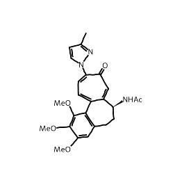 COc1cc2c(c(OC)c1OC)-c1ccc(-n3ccc(C)n3)c(=O)cc1[C@@H](NC(C)=O)CC2